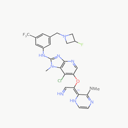 CNC1=NC=CN/C1=C(\C=N)Oc1cnc2nc(Nc3cc(CN4CC(F)C4)cc(C(F)(F)F)c3)n(C)c2c1Cl